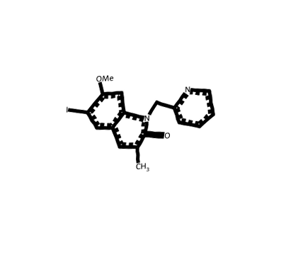 COc1cc2c(cc1I)cc(C)c(=O)n2Cc1ccccn1